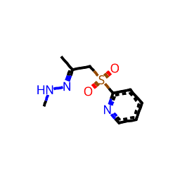 CNN=C(C)CS(=O)(=O)c1ccccn1